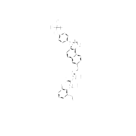 CCc1cccc(C)c1NC(=S)NN=Cc1ccc2c(ccc3c2nnn3-c2ccc(OC(F)(F)F)cc2)c1